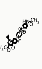 CC(=O)Nc1ccc(S(=O)(=O)N2CCN(c3cc4c(cc3F)c(=O)c(C(C)=O)cn4C3CC3)CC2)cc1